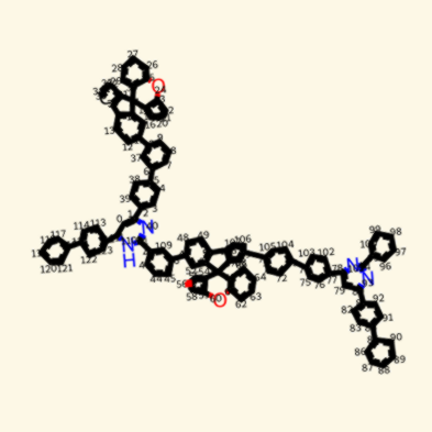 C1=C(c2ccc(-c3cccc(-c4ccc5c(c4)C4(c6ccccc6Oc6ccccc64)c4ccccc4-5)c3)cc2)N=C(c2cccc(-c3ccc4c(c3)C3(c5ccccc5Oc5ccccc53)c3cc(-c5ccc(-c6ccc(-c7cc(-c8ccc(-c9ccccc9)cc8)nc(-c8ccccc8)n7)cc6)cc5)ccc3-4)c2)NC1c1ccc(-c2ccccc2)cc1